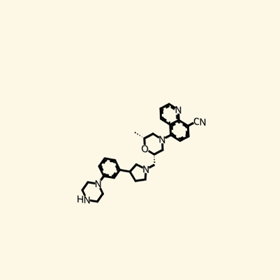 C[C@@H]1CN(c2ccc(C#N)c3ncccc23)C[C@H](CN2CCC(c3cccc(N4CCNCC4)c3)C2)O1